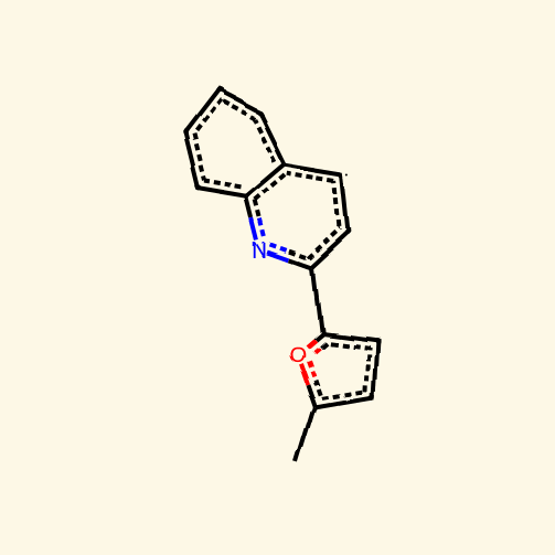 Cc1ccc(-c2c[c]c3ccccc3n2)o1